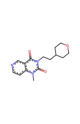 Cn1c(=O)n(CCC2CCOCC2)c(=O)c2cnccc21